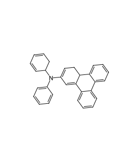 C1=CCC(N(C2=CCC3C(=C2)c2ccccc2-c2ccccc23)c2ccccc2)C=C1